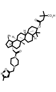 Cc1cc(CN2CCN(C(=O)C[C@]34CC[C@@H](C(C)C)[C@@H]3[C@H]3CC[C@@H]5[C@@]6(C)CC[C@H](OC(=O)CC(C)(C)C(=O)O)C(C)(C)[C@@H]6CC[C@@]5(C)[C@]3(C)CC4)CC2)on1